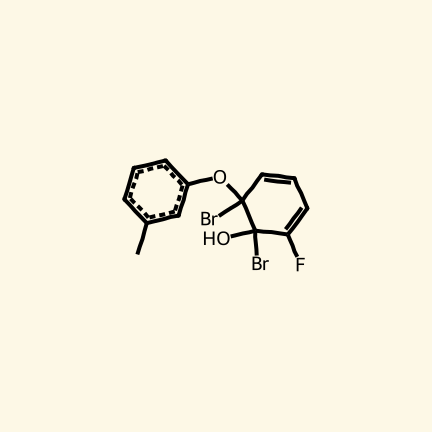 Cc1cccc(OC2(Br)C=CC=C(F)C2(O)Br)c1